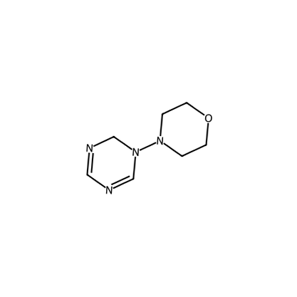 C1=NC=NCN1N1CCOCC1